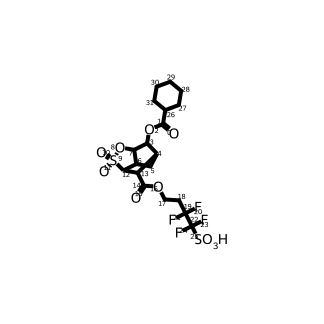 O=C(OC1C2CC3C1OS(=O)(=O)C3C2C(=O)OCCC(F)(F)C(F)(F)S(=O)(=O)O)C1CCCCC1